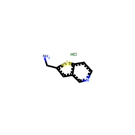 Cl.NCc1cc2cnccc2s1